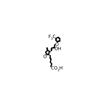 C=C1CC(=O)[C@H](CC=CCCCC(=O)O)[C@H]1C=C[C@@H](O)COc1cccc(C(F)(F)F)c1